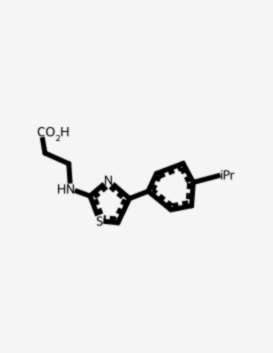 CC(C)c1ccc(-c2csc(NCCC(=O)O)n2)cc1